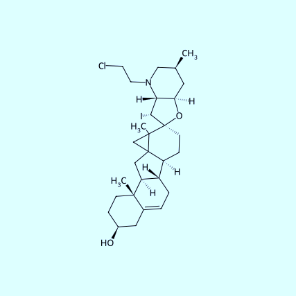 C[C@H]1C[C@H]2O[C@]3(CC[C@H]4[C@@H]5CC=C6C[C@@H](O)CC[C@]6(C)[C@H]5CC45CC53C)[C@H](I)[C@@H]2N(CCCl)C1